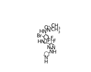 CC1(C)COC(Nc2ccc3c(-c4nc(NC5CCCNC5)ncc4C(F)(F)F)c[nH]c3c2Br)=N1